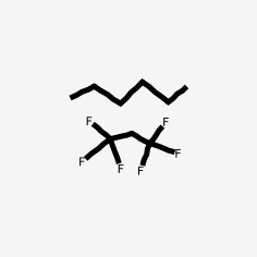 CCCCCC.FC(F)(F)CC(F)(F)F